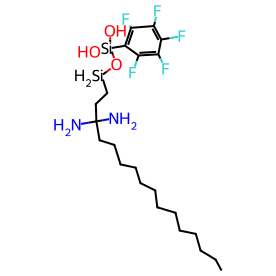 CCCCCCCCCCCCCC(N)(N)CC[SiH2]O[Si](O)(O)c1c(F)c(F)c(F)c(F)c1F